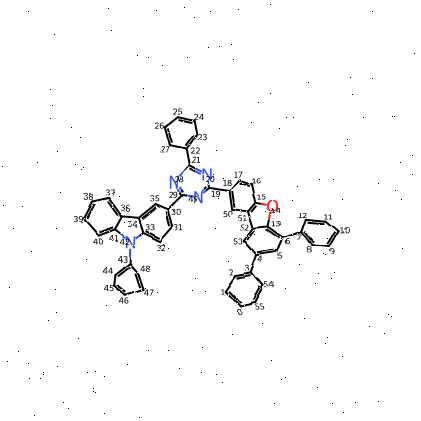 c1ccc(-c2cc(-c3ccccc3)c3oc4ccc(-c5nc(-c6ccccc6)nc(-c6ccc7c(c6)c6ccccc6n7-c6ccccc6)n5)cc4c3c2)cc1